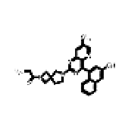 C=CC(=O)N1CC2(CCN(c3nc(-c4cc(O)cc5ccccc45)c4ncc(C)cc4n3)C2)C1